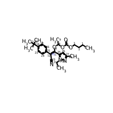 CCCCOC(=O)OC(C)O/C(=C(/C#N)c1ccc(C(C)(C)C)cc1)c1cc(C)nn1CC